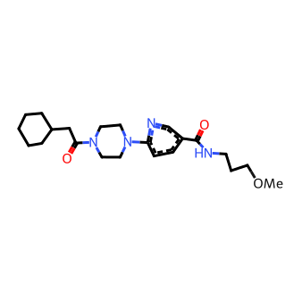 COCCCNC(=O)c1ccc(N2CCN(C(=O)CC3CCCCC3)CC2)nc1